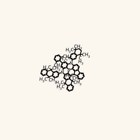 Cc1cc2c(cc1N1c3cc(-c4c(C)cccc4C)cc4c3B3c5c1ccc1c5C(C)(c5ccccc5-1)c1c3c(cc3c1C(C)(C)c1ccccc1C3(C)C)N4c1ccc3c(c1)C(C)(C)c1ccccc1C3(C)C)C(C)(C)CCC2(C)C